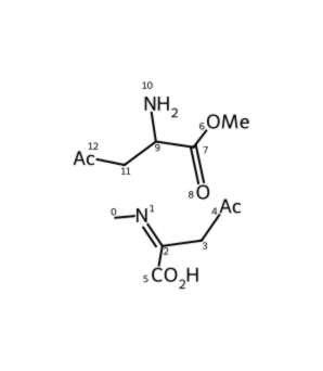 CN=C(CC(C)=O)C(=O)O.COC(=O)C(N)CC(C)=O